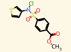 COC(=O)c1ccc(S(=O)(=O)N(Cl)c2ccsc2)cc1